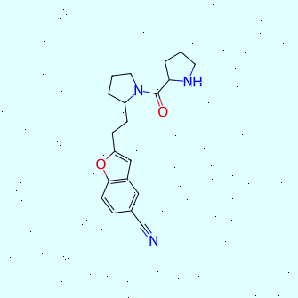 N#Cc1ccc2oc(CCC3CCCN3C(=O)C3CCCN3)cc2c1